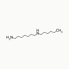 CCCCCCNCCCCCCCN